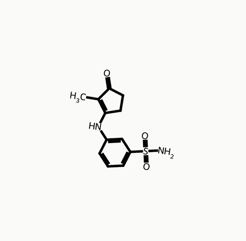 CC1=C(Nc2cccc(S(N)(=O)=O)c2)CCC1=O